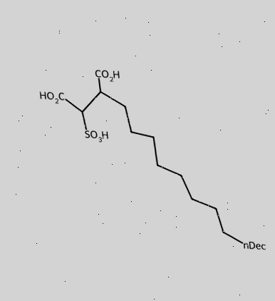 CCCCCCCCCCCCCCCCCCC(C(=O)O)C(C(=O)O)S(=O)(=O)O